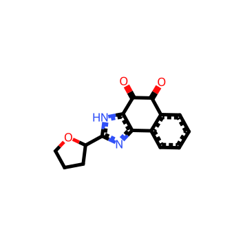 O=C1C(=O)c2[nH]c(C3CCCO3)nc2-c2ccccc21